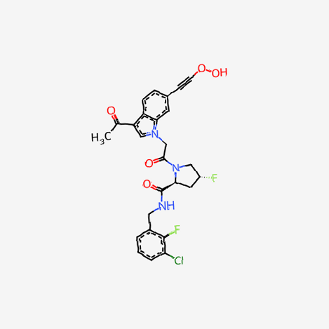 CC(=O)c1cn(CC(=O)N2C[C@H](F)C[C@H]2C(=O)NCc2cccc(Cl)c2F)c2cc(C#COO)ccc12